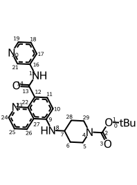 CC(C)(C)OC(=O)N1CCC(Nc2ccc(C(=O)Nc3cccnc3)c3ncccc23)CC1